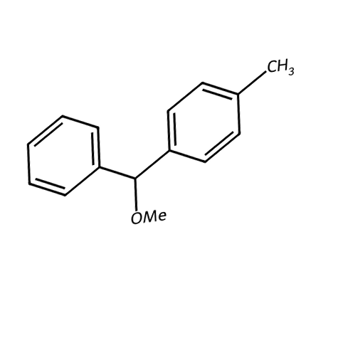 COC(c1ccccc1)c1ccc(C)cc1